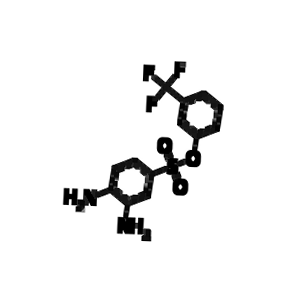 Nc1ccc(S(=O)(=O)Oc2cccc(C(F)(F)F)c2)cc1N